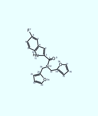 O=C(c1cc2cc(F)ccc2[nH]1)N(Cc1ccco1)Cc1ccco1